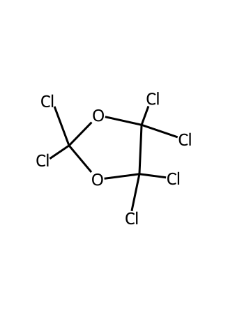 ClC1(Cl)OC(Cl)(Cl)C(Cl)(Cl)O1